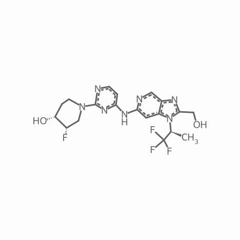 C[C@H](n1c(CO)nc2cnc(Nc3ccnc(N4CC[C@@H](O)[C@@H](F)C4)n3)cc21)C(F)(F)F